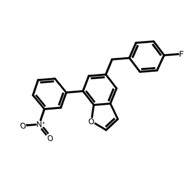 O=[N+]([O-])c1cccc(-c2cc(Cc3ccc(F)cc3)cc3ccoc23)c1